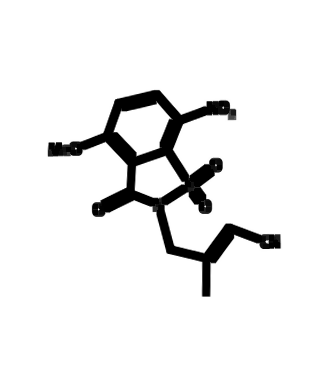 COc1ccc([N+](=O)[O-])c2c1C(=O)N(CC(C)=CC#N)S2(=O)=O